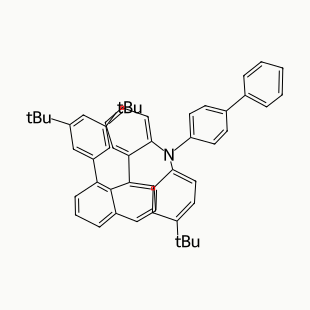 CC(C)(C)c1ccc(N(c2ccc(-c3ccccc3)cc2)c2ccccc2-c2cccc3cccc(-c4cc(C(C)(C)C)cc(C(C)(C)C)c4)c23)cc1